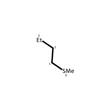 [CH]SCCCC